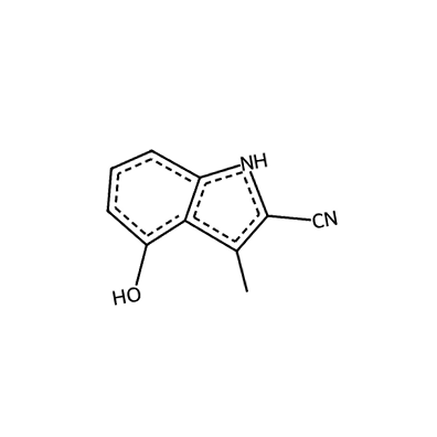 Cc1c(C#N)[nH]c2cccc(O)c12